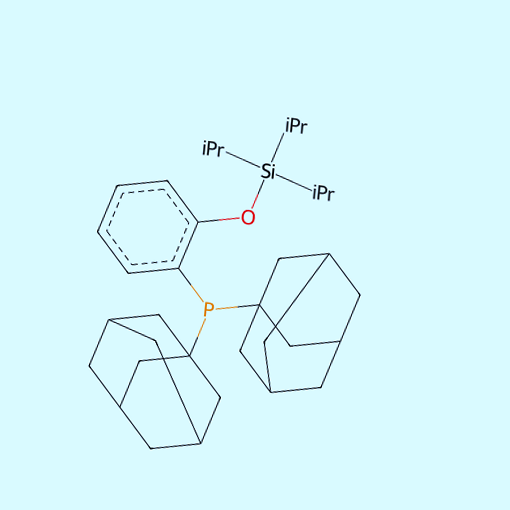 CC(C)[Si](Oc1ccccc1P(C12CC3CC(CC(C3)C1)C2)C12CC3CC(CC(C3)C1)C2)(C(C)C)C(C)C